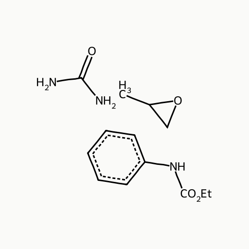 CC1CO1.CCOC(=O)Nc1ccccc1.NC(N)=O